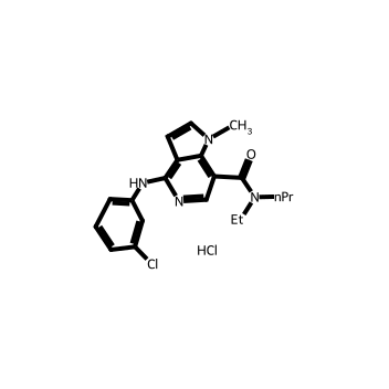 CCCN(CC)C(=O)c1cnc(Nc2cccc(Cl)c2)c2ccn(C)c12.Cl